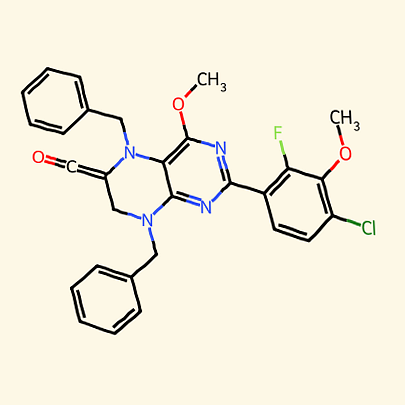 COc1nc(-c2ccc(Cl)c(OC)c2F)nc2c1N(Cc1ccccc1)C(=C=O)CN2Cc1ccccc1